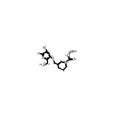 CC(C)(C)OC(=O)N1CCCC(COc2cc(Br)c(Cl)nc2CN)C1